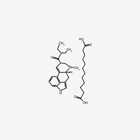 CCN(CC)C(=O)[C@@H]1C=C2c3cccc4[nH]cc(c34)C[C@H]2N(C)C1.O=C(O)CCCCCCCCCCC(=O)O